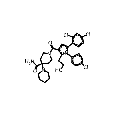 NC(=O)C1(N2CCCCC2)CCN(C(=O)c2cc(-c3ccc(Cl)cc3Cl)n(-c3ccc(Cl)cc3)c2CCO)CC1